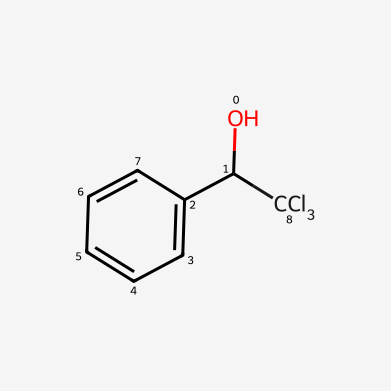 OC(c1ccccc1)C(Cl)(Cl)Cl